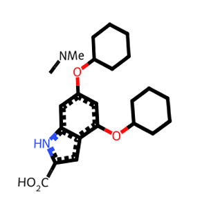 CNC.O=C(O)c1cc2c(OC3CCCCC3)cc(OC3CCCCC3)cc2[nH]1